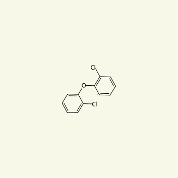 Clc1ccc[c]c1Oc1ccccc1Cl